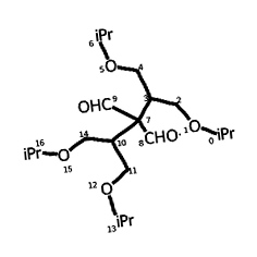 CC(C)OCC(COC(C)C)C([C]=O)(C=O)C(COC(C)C)COC(C)C